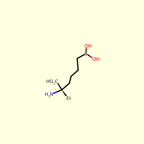 CC[C@](N)(CCCCB(O)O)C(=O)O